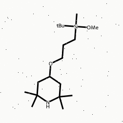 CO[Si](C)(CCCOC1CC(C)(C)NC(C)(C)C1)C(C)(C)C